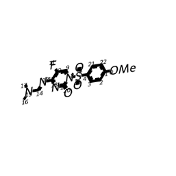 COc1ccc(S(=O)(=O)n2cc(F)c(/N=C/N(C)C)nc2=O)cc1